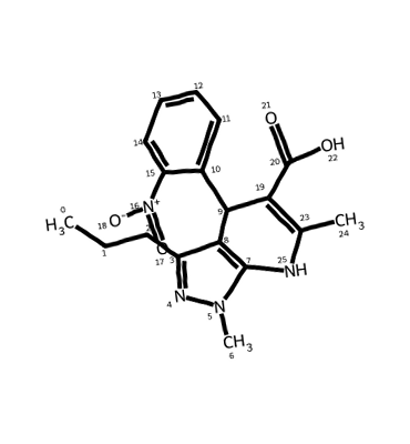 CCCc1nn(C)c2c1C(c1ccccc1[N+](=O)[O-])C(C(=O)O)=C(C)N2